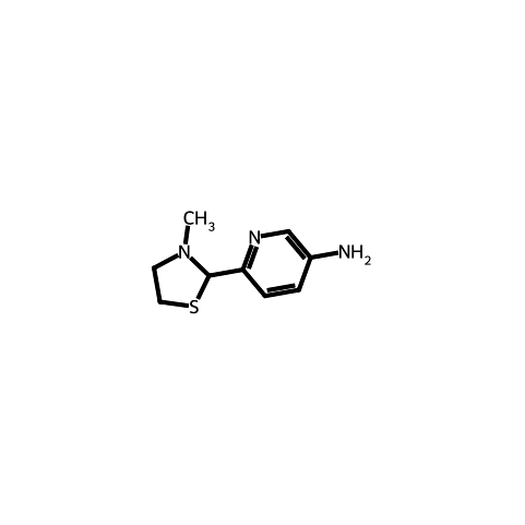 CN1CCSC1c1ccc(N)cn1